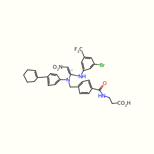 O=C(O)CCNC(=O)c1ccc(CN(/C(=C\[N+](=O)[O-])Nc2cc(Br)cc(C(F)(F)F)c2)c2ccc(C3=CCCCC3)cc2)cc1